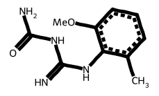 COc1cccc(C)c1NC(=N)NC(N)=O